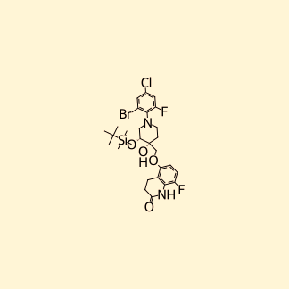 CC(C)(C)[Si](C)(C)O[C@@H]1CN(c2c(F)cc(Cl)cc2Br)CC[C@@]1(O)COc1ccc(F)c2c1CCC(=O)N2